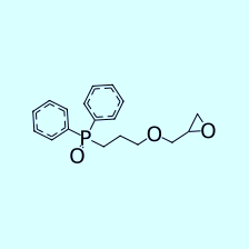 O=P(CCCOCC1CO1)(c1ccccc1)c1ccccc1